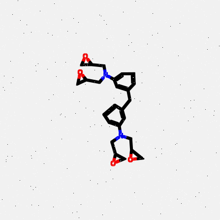 c1cc(Cc2cccc(N(CC3CO3)CC3CO3)c2)cc(N(CC2CO2)CC2CO2)c1